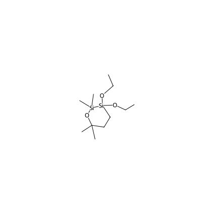 CCO[Si]1(OCC)CCC(C)(C)O[Si]1(C)C